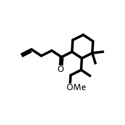 C=CCCC(=O)C1CCCC(C)(C)C1C(C)COC